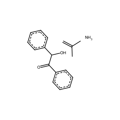 C=C(C)C.N.O=C(c1ccccc1)C(O)c1ccccc1